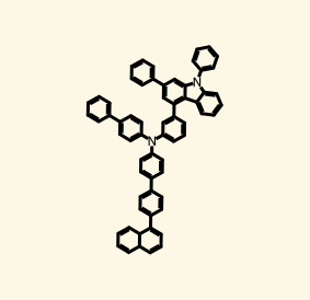 C1=CC2C=CC=C(c3ccc(-c4ccc(N(c5ccc(-c6ccccc6)cc5)c5cccc(-c6cc(-c7ccccc7)cc7c6c6ccccc6n7-c6ccccc6)c5)cc4)cc3)C2C=C1